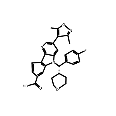 Cc1noc(C)c1-c1cnc2c3ccc(C(=O)O)cc3n([C@H](c3ccc(F)cc3)C3CCOCC3)c2c1